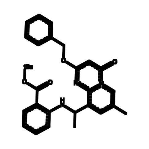 Cc1cc(C(C)Nc2ccccc2C(=O)OC(C)(C)C)c2nc(OCc3ccccc3)cc(=O)n2c1